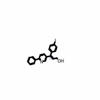 OC/C=C(\c1ccc(I)cc1)c1ccc(-c2ccccc2)nc1